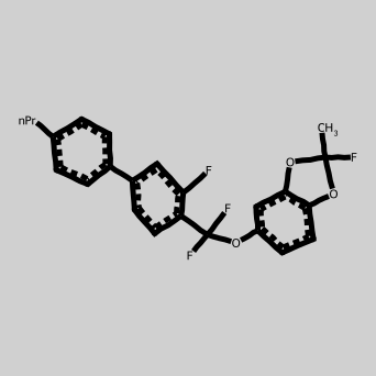 CCCc1ccc(-c2ccc(C(F)(F)Oc3ccc4c(c3)OC(C)(F)O4)c(F)c2)cc1